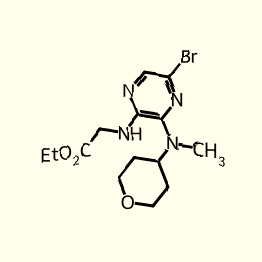 CCOC(=O)CNc1ncc(Br)nc1N(C)C1CCOCC1